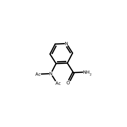 CC(=O)N(C(C)=O)c1ccncc1C(N)=O